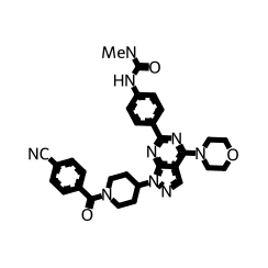 CNC(=O)Nc1ccc(-c2nc(N3CCOCC3)c3cnn(C4CCN(C(=O)c5ccc(C#N)cc5)CC4)c3n2)cc1